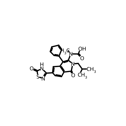 CC(C)Cn1c(N(C)C(=O)O)c(-c2ccccc2)c2cc(-c3nsc(=O)[nH]3)ccc2c1=O